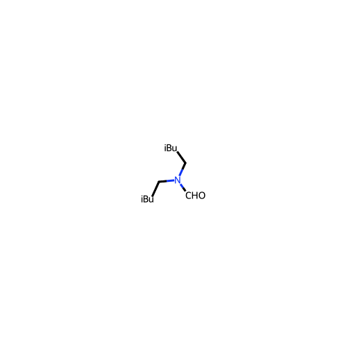 CCC(C)CN(C=O)CC(C)CC